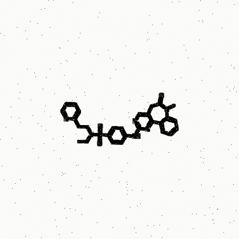 CCN(CCc1ccccn1)S(=O)(=O)c1ccc(Nc2ncc3c(n2)-c2ccccc2N(C)C(=O)C3)cc1